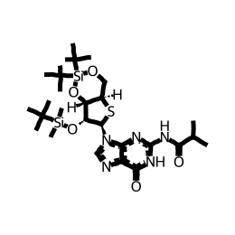 CC(C)C(=O)Nc1nc2c(ncn2[C@@H]2S[C@@H]3CO[Si](C(C)(C)C)(C(C)(C)C)O[C@H]3[C@H]2O[Si](C)(C)C(C)(C)C)c(=O)[nH]1